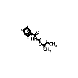 CCC(C)OCNC(=O)C1CC2C=CC1C2